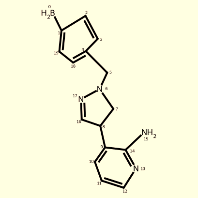 Bc1ccc(CN2CC(c3cccnc3N)C=N2)cc1